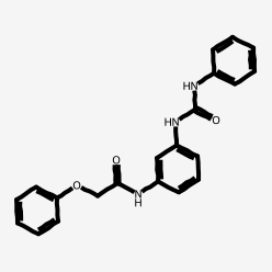 O=C(COc1ccccc1)Nc1cccc(NC(=O)Nc2ccccc2)c1